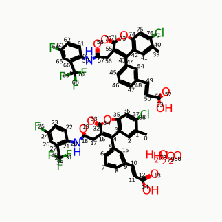 Cc1cc2c(-c3cccc(/C=C/C(=O)O)c3)c(CC(=O)Nc3ccc(F)cc3C(F)(F)F)c(=O)oc2cc1Cl.Cc1cc2c(-c3cccc(/C=C/C(=O)O)c3)c(CC(=O)Nc3ccc(F)cc3C(F)(F)F)c(=O)oc2cc1Cl.O.O.O